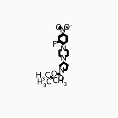 CC(C)(C)OC(=O)N1CC[C@@H](N2CCN(c3ccc([N+](=O)[O-])cc3F)CC2)C1